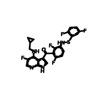 O=C(c1c(F)ccc(NSc2cc(F)ccc2F)c1F)c1c[nH]c2ncc(F)c(NCC3CC3)c12